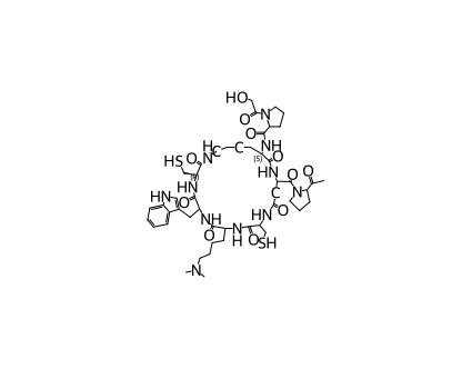 CC(=O)C1CCCN1C(=O)C1CC(=O)NC(CS)C(=O)NC(CCCCN(C)C)C(=O)NC(Cc2c[nH]c3ccccc23)C(=O)N[C@@H](CS)C(=O)NCCCC[C@H](NC(=O)C2CCCN2C(=O)CO)C(=O)N1